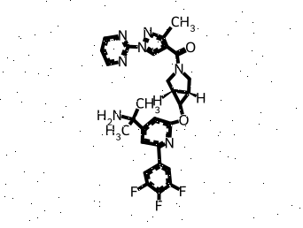 Cc1nn(-c2ncccn2)cc1C(=O)N1C[C@@H]2C(Oc3cc(C(C)(C)N)cc(-c4cc(F)c(F)c(F)c4)n3)[C@@H]2C1